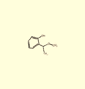 COC(C)c1ccccc1O